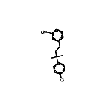 CC(C)(C)c1cccc(CCC(C)(C)c2ccc(Cl)cc2)c1